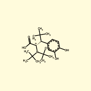 CC(C)(C)C(c1ccc(O)c(O)c1)[C@@H](C(=O)O)N(C(C)(C)C)C(C)(C)C